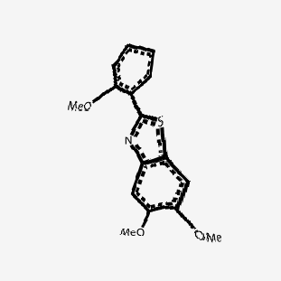 COc1cc2nc(-c3cc[c]cc3OC)sc2cc1OC